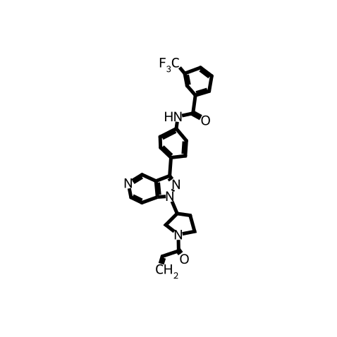 C=CC(=O)N1CCC(n2nc(-c3ccc(NC(=O)c4cccc(C(F)(F)F)c4)cc3)c3cnccc32)C1